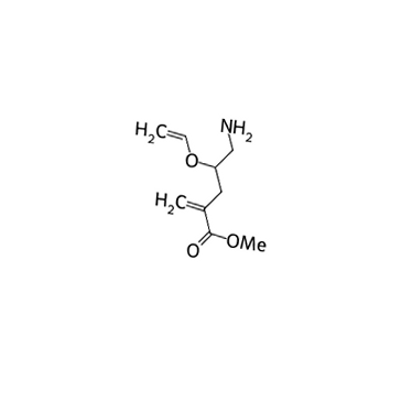 C=COC(CN)CC(=C)C(=O)OC